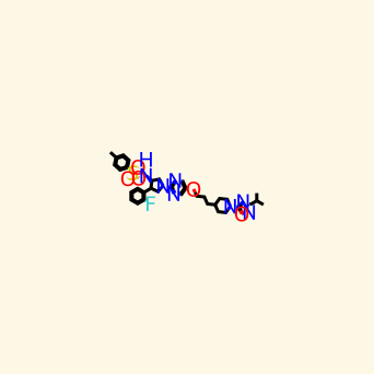 Cc1ccc(S(=O)(=O)ONC2CN(c3ncc(OCCCC4CCN(c5nc(C(C)C)no5)CC4)cn3)CC2c2ccccc2F)cc1